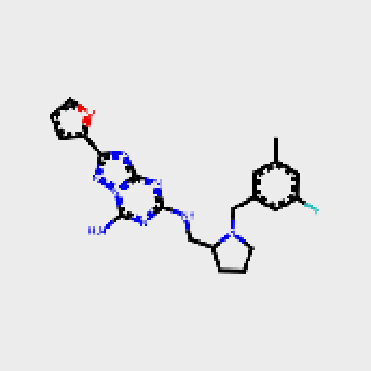 Cc1cc(F)cc(CN2CCCC2CNc2nc(N)n3nc(-c4ccco4)nc3n2)c1